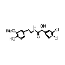 COc1cc(CCNC(=O)C(O)c2ccc(Cl)c(Cl)c2)ccc1O